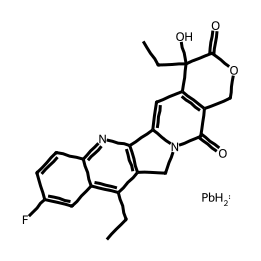 CCc1c2c(nc3ccc(F)cc13)-c1cc3c(c(=O)n1C2)COC(=O)C3(O)CC.[PbH2]